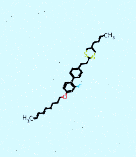 CCCCCCCCCOc1ccc(-c2ccc(CCC3SCC(CCCC)CS3)cc2)c(F)c1